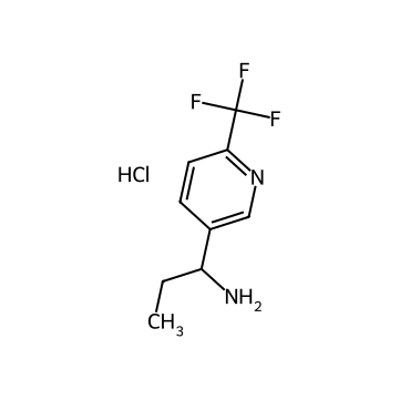 CCC(N)c1ccc(C(F)(F)F)nc1.Cl